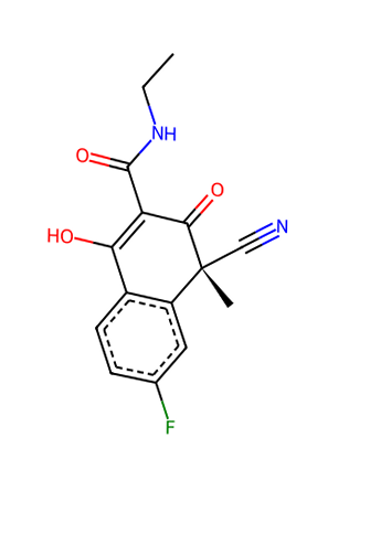 CCNC(=O)C1=C(O)c2ccc(F)cc2[C@@](C)(C#N)C1=O